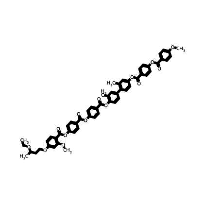 CCOC(C)CCOc1ccc(C(=O)Oc2ccc(C(=O)Oc3ccc(C(=O)Oc4ccc(-c5ccc(OC(=O)c6ccc(OC(=O)c7ccc(OC)cc7)cc6)cc5C)cc4C)cc3)cc2)c(OC)c1